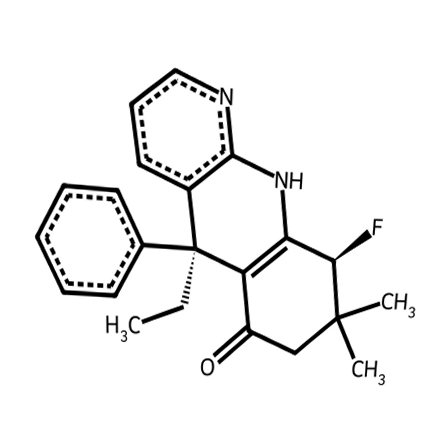 CC[C@@]1(c2ccccc2)C2=C(Nc3ncccc31)[C@@H](F)C(C)(C)CC2=O